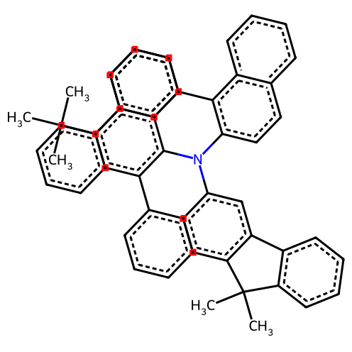 CC(C)(C)c1cc(-c2ccccc2)c(N(c2ccc3c(c2)-c2ccccc2C3(C)C)c2ccc3ccccc3c2-c2cccc(-c3ccccc3)c2)c2ccccc12